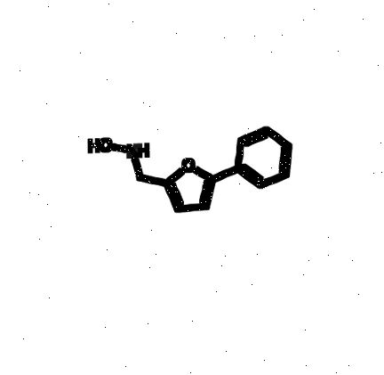 ONCc1ccc(-c2ccccc2)o1